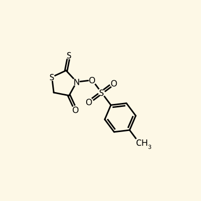 Cc1ccc(S(=O)(=O)ON2C(=O)CSC2=S)cc1